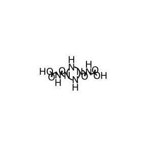 O=C(O)CNC(=O)CN1CCNCCN(CC(=O)NCC(=O)O)CCNCC1